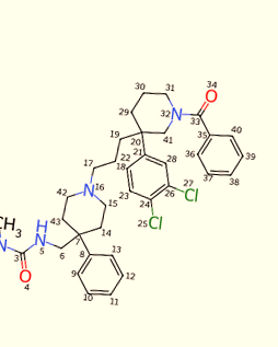 CCN(C)C(=O)NCC1(c2ccccc2)CCN(CCCC2(c3ccc(Cl)c(Cl)c3)CCCN(C(=O)c3ccccc3)C2)CC1